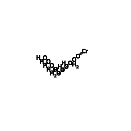 O.O.O.O.O.O.O.O.O.[O]=[Cr]